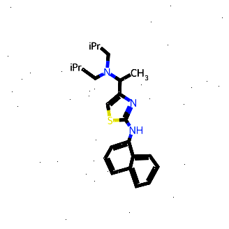 CC(C)CN(CC(C)C)C(C)c1csc(Nc2cccc3ccccc23)n1